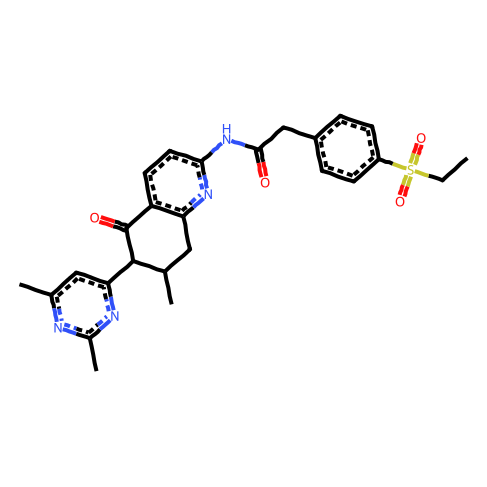 CCS(=O)(=O)c1ccc(CC(=O)Nc2ccc3c(n2)CC(C)C(c2cc(C)nc(C)n2)C3=O)cc1